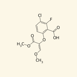 COC=C(Oc1ccc(Cl)c(F)c1C(=O)O)C(=O)OC